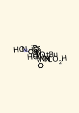 CC(C)CN(C[C@@H](O)[C@H](Cc1ccccc1)NC(=O)[C@@H](N(C)C(=O)O)C(C)(C)C)S(=O)(=O)c1ccc(/C=N/O)cc1